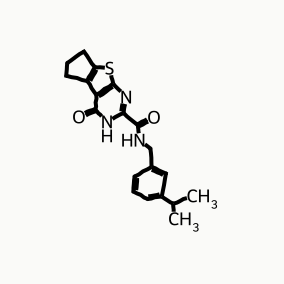 CC(C)c1cccc(CNC(=O)c2nc3sc4c(c3c(=O)[nH]2)CCC4)c1